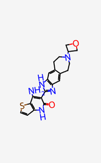 Nc1c(-c2nc3cc4c(cc3[nH]2)CCN(C2COC2)CC4)c(=O)[nH]c2ccsc12